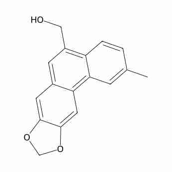 Cc1ccc2c(CO)cc3cc4c(cc3c2c1)OCO4